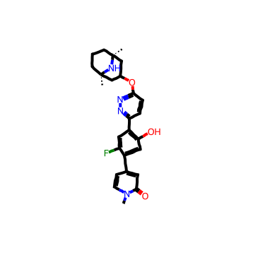 Cn1ccc(-c2cc(O)c(-c3ccc(OC4C[C@]5(C)CCC[C@](C)(C4)N5)nn3)cc2F)cc1=O